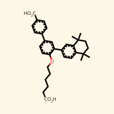 CC1(C)CCC(C)(C)c2cc(-c3cc(-c4ccc(C(=O)O)cc4)ccc3OCCCCCC(=O)O)ccc21